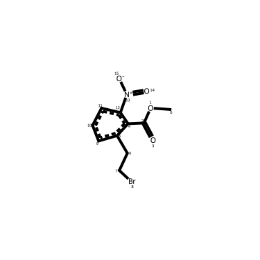 COC(=O)c1c(CCBr)cccc1[N+](=O)[O-]